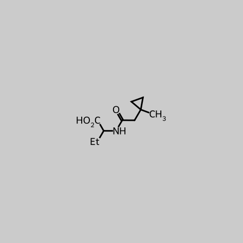 CCC(NC(=O)CC1(C)CC1)C(=O)O